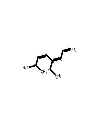 C=C/C=C(\C=C/C(C)C)CN